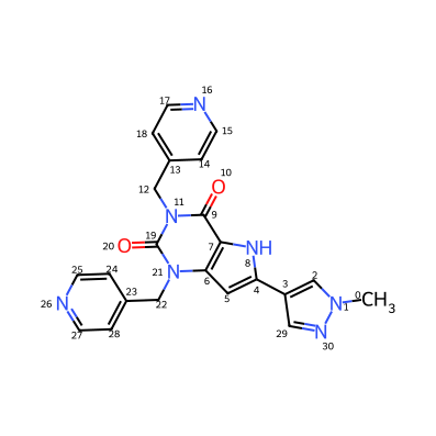 Cn1cc(-c2cc3c([nH]2)c(=O)n(Cc2ccncc2)c(=O)n3Cc2ccncc2)cn1